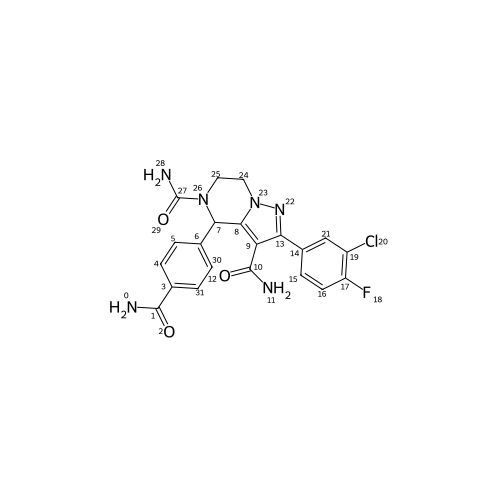 NC(=O)c1ccc(C2c3c(C(N)=O)c(-c4ccc(F)c(Cl)c4)nn3CCN2C(N)=O)cc1